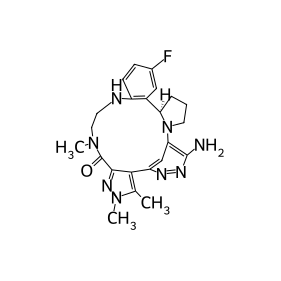 Cc1c2c(nn1C)C(=O)N(C)CCNc1ccc(F)cc1[C@H]1CCCN1c1cc-2nnc1N